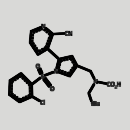 CC(C)(C)CN(Cc1cc(-c2cccnc2C#N)n(S(=O)(=O)c2ccccc2Cl)c1)C(=O)O